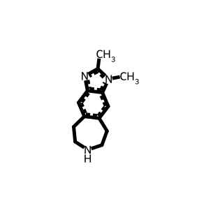 Cc1nc2cc3c(cc2n1C)CCNCC3